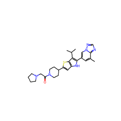 Cc1cc(-c2[nH]c3cc(C4CCN(C(=O)CN5CCCC5)CC4)sc3c2C(C)C)cn2ncnc12